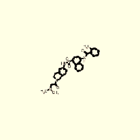 Cc1ccccc1C(=O)Nc1ccc(S(=O)(=O)Nc2ccc3c(c2)CCN(C(=O)CN(C)C)C3)c2ccccc12